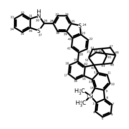 C[Si]1(C)c2ccccc2-c2ccc3c(c21)-c1cccc(-c2ccc4sc5ccc(C6Nc7ccccc7S6)cc5c4c2)c1C31C2CC3CC(C2)CC1C3